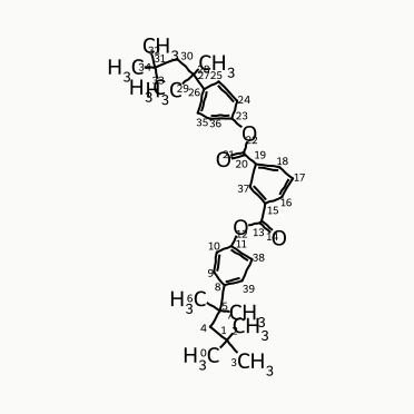 CC(C)(C)CC(C)(C)c1ccc(OC(=O)c2cccc(C(=O)Oc3ccc(C(C)(C)CC(C)(C)C)cc3)c2)cc1